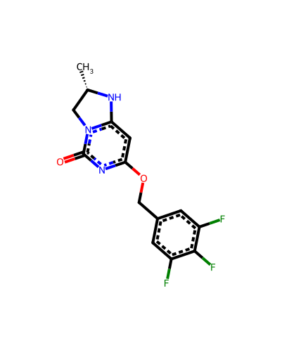 C[C@H]1Cn2c(cc(OCc3cc(F)c(F)c(F)c3)nc2=O)N1